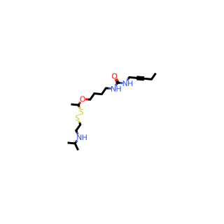 CCC#CCNC(=O)NCCCCOC(C)SSCCNC(C)C